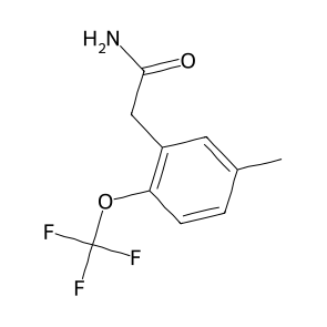 Cc1ccc(OC(F)(F)F)c(CC(N)=O)c1